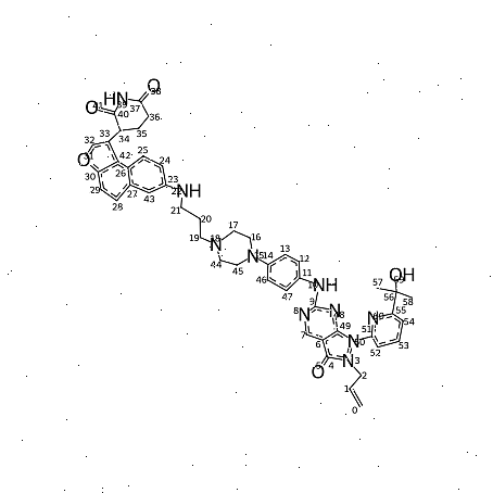 C=CCn1c(=O)c2cnc(Nc3ccc(N4CCN(CCCNc5ccc6c(ccc7occ(C8CCC(=O)NC8=O)c76)c5)CC4)cc3)nc2n1-c1cccc(C(C)(C)O)n1